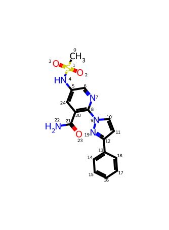 CS(=O)(=O)Nc1cnc(-n2ccc(-c3ccccc3)n2)c(C(N)=O)c1